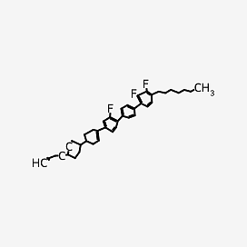 C#CCCC1CCC(C2CC=C(c3ccc(-c4ccc(-c5ccc(CCCCCCC)c(F)c5F)cc4)c(F)c3)CC2)CC1